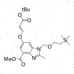 COC(=O)c1cc(O/C=C/C(=O)OC(C)(C)C)cc2c1nc(C)n2COCC[Si](C)(C)C